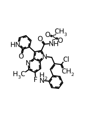 C=C(Cl)/C(=C\c1ccccc1N)Cn1c(C(=O)NS(C)(=O)=O)c(-c2ccc[nH]c2=O)c2nc(C)c(F)cc21